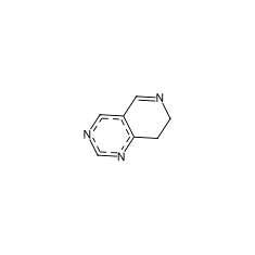 C1=NCCc2ncncc21